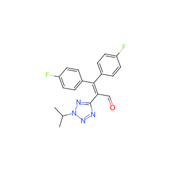 CC(C)n1nnc(C(C=O)=C(c2ccc(F)cc2)c2ccc(F)cc2)n1